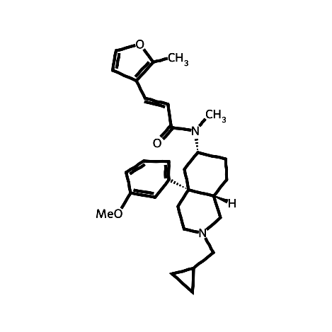 COc1cccc([C@@]23CCN(CC4CC4)C[C@H]2CC[C@@H](N(C)C(=O)/C=C/c2ccoc2C)C3)c1